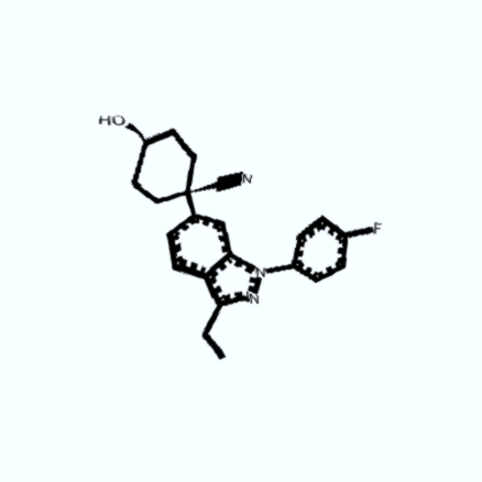 CCc1nn(-c2ccc(F)cc2)c2cc([C@]3(C#N)CC[C@@H](O)CC3)ccc12